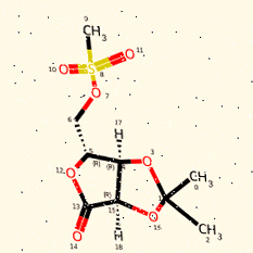 CC1(C)O[C@@H]2[C@@H](COS(C)(=O)=O)OC(=O)[C@@H]2O1